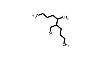 CCCCC(C)C(CS)CCCC